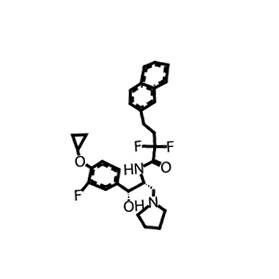 O=C(N[C@H](CN1CCCC1)[C@H](O)c1ccc(OC2CC2)c(F)c1)C(F)(F)CCc1ccc2ccccc2c1